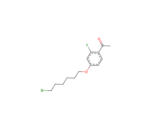 CC(=O)c1ccc(OCCCCCCBr)cc1F